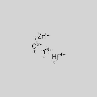 [Hf+4].[O-2].[Y+3].[Zr+4]